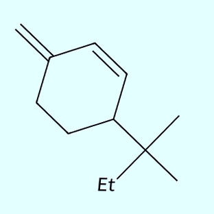 C=C1C=CC(C(C)(C)CC)CC1